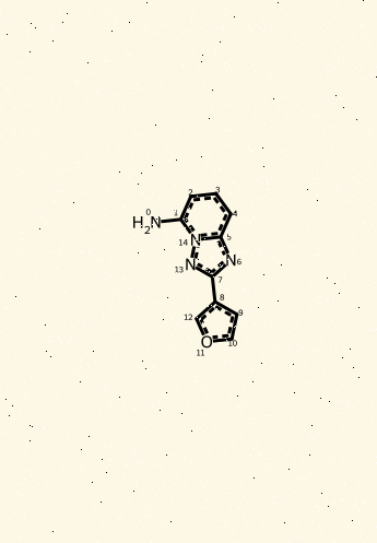 Nc1cccc2nc(-c3ccoc3)nn12